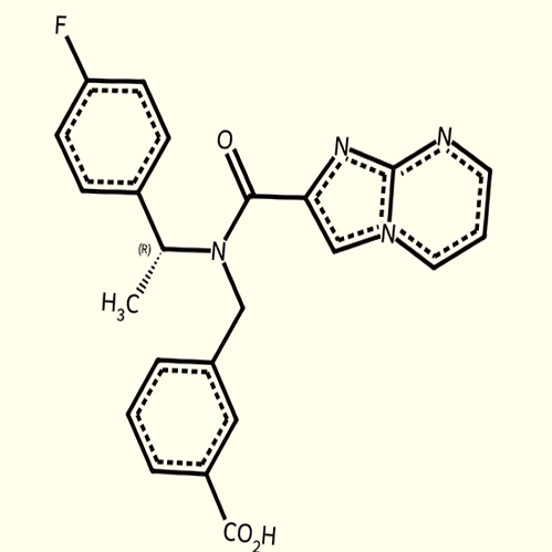 C[C@H](c1ccc(F)cc1)N(Cc1cccc(C(=O)O)c1)C(=O)c1cn2cccnc2n1